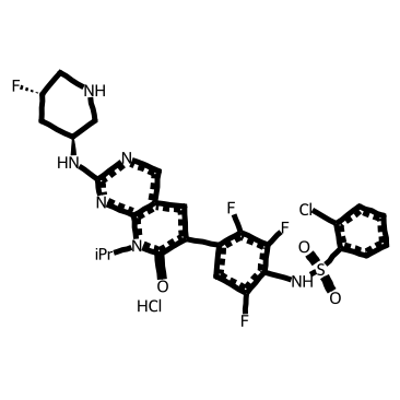 CC(C)n1c(=O)c(-c2cc(F)c(NS(=O)(=O)c3ccccc3Cl)c(F)c2F)cc2cnc(N[C@@H]3CNC[C@@H](F)C3)nc21.Cl